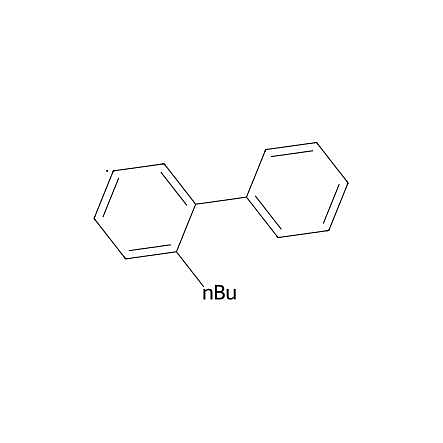 CCCCc1cc[c]cc1-c1ccccc1